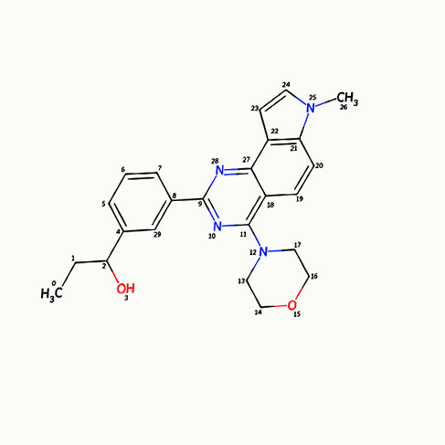 CCC(O)c1cccc(-c2nc(N3CCOCC3)c3ccc4c(ccn4C)c3n2)c1